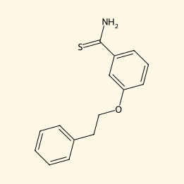 NC(=S)c1cccc(OCCc2ccccc2)c1